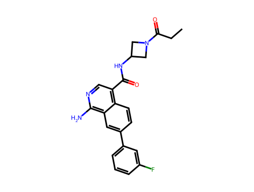 CCC(=O)N1CC(NC(=O)c2cnc(N)c3cc(-c4cccc(F)c4)ccc23)C1